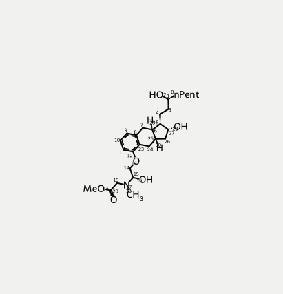 CCCCC[C@H](O)CC[C@@H]1[C@H]2Cc3cccc(OCC(O)N(C)CC(=O)OC)c3C[C@H]2C[C@H]1O